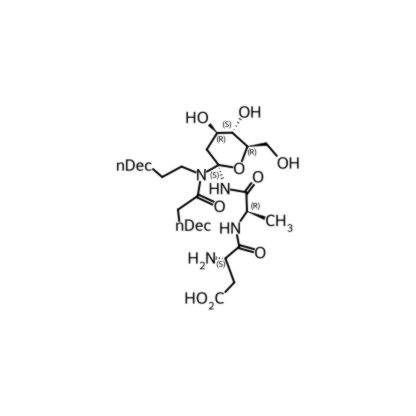 CCCCCCCCCCCCN(C(=O)CCCCCCCCCCC)[C@@]1(NC(=O)[C@@H](C)NC(=O)[C@@H](N)CC(=O)O)C[C@@H](O)[C@H](O)[C@@H](CO)O1